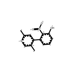 Cc1cc(-c2cccc(O)c2[N+](=O)[O-])c(C)cn1